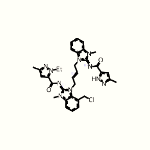 CCn1nc(C)cc1C(=O)/N=c1\n(C)c2cccc(CCl)c2n1C/C=C/Cn1/c(=N/C(=O)c2cc(C)n[nH]2)n(C)c2ccccc21